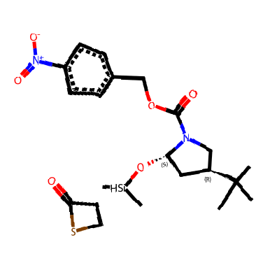 C[SiH](C)O[C@H]1C[C@H](C(C)(C)C)CN1C(=O)OCc1ccc([N+](=O)[O-])cc1.O=C1CCS1